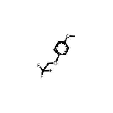 COc1ccc(OCC(F)(F)F)cc1